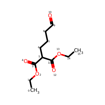 CCOC(=O)C(CCCC=O)C(=O)OCC